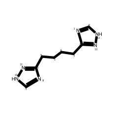 c1nc(CCCCc2nc[nH]n2)n[nH]1